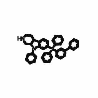 C1=CC2c3ccc([Si](c4ccccc4)(c4ccccc4)c4cccc(-c5ccccc5)c4)cc3N(c3ccccc3)C2CN1